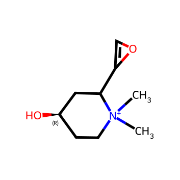 C[N+]1(C)CC[C@@H](O)CC1C1=CO1